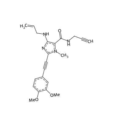 C#CCNC(=O)c1c(NCC=C)nc(C#Cc2ccc(OC)c(OC)c2)n1C